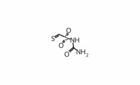 NC(=O)NS(=O)(=O)C=S